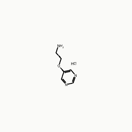 Cl.NCCOc1cncnc1